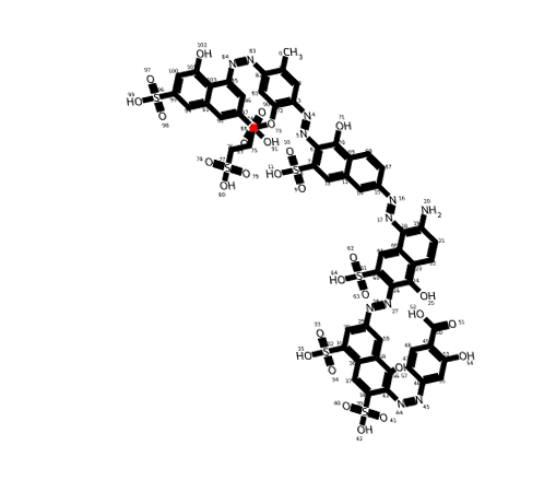 Cc1cc(N=Nc2c(S(=O)(=O)O)cc3cc(N=Nc4c(N)ccc5c(O)c(/N=N/c6cc(S(=O)(=O)O)c7cc(S(=O)(=O)O)c(/N=N\c8ccc(C(=O)O)c(O)c8)c(O)c7c6)c(S(=O)(=O)O)cc45)ccc3c2O)c(OCCCS(=O)(=O)O)cc1/N=N\c1cc(S(=O)(=O)O)cc2cc(S(=O)(=O)O)cc(O)c12